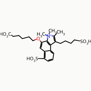 CC1=C(CCCCS(=O)(=O)O)c2c(c(OCCCCCC(=O)O)cc3c(S(=O)(=O)O)cccc23)[N+]1(C)C